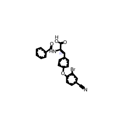 N#Cc1ccc(Oc2ccc(/C=C(\NC(=O)c3ccccc3)C(=O)O)cc2)c(Br)c1